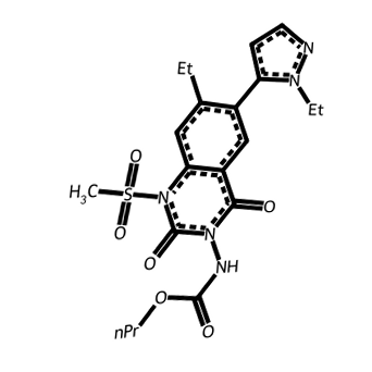 CCCOC(=O)Nn1c(=O)c2cc(-c3ccnn3CC)c(CC)cc2n(S(C)(=O)=O)c1=O